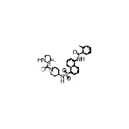 Cc1ccccc1C(=O)Nc1cccc2c(S(=O)(=O)NC3CCN(C(=O)[C@H]4NCC[C@@H]4C)CC3)cccc12